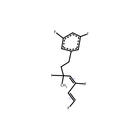 CC(I)(/C=C(F)\C=C\F)CCc1cc(F)cc(F)c1